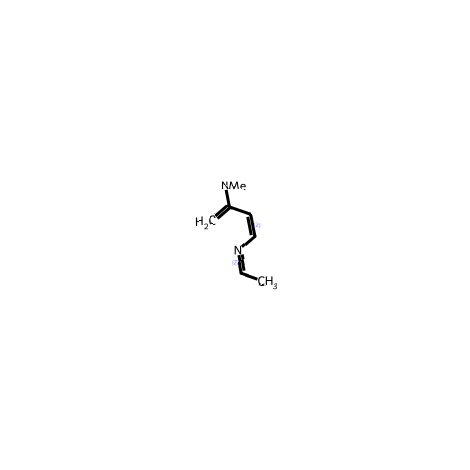 C=C(/C=C\N=C/C)NC